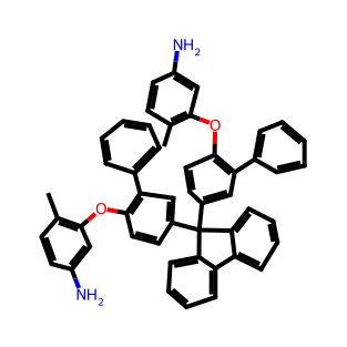 Cc1ccc(N)cc1Oc1ccc(C2(c3ccc(Oc4cc(N)ccc4C)c(-c4ccccc4)c3)c3ccccc3-c3ccccc32)cc1-c1ccccc1